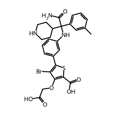 Cc1cccc(C(Nc2cccc(-c3sc(C(=O)O)c(OCC(=O)O)c3Br)c2)(C(N)=O)C2CCNCC2)c1